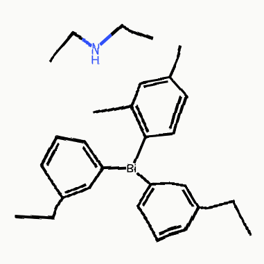 CCNCC.CCc1ccc[c]([Bi]([c]2cccc(CC)c2)[c]2ccc(C)cc2C)c1